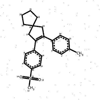 Cc1ccc(C2=C(c3ccc(S(C)(=O)=O)cc3)CC3(CCCC3)C2)cc1